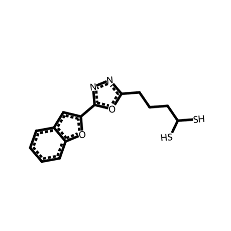 SC(S)CCCc1nnc(-c2cc3ccccc3o2)o1